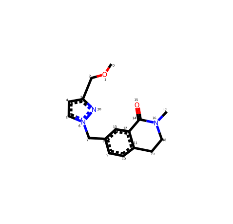 COCc1ccn(Cc2ccc3c(c2)C(=O)N(C)CC3)n1